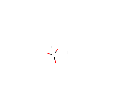 OB(O)O.[InH3].[Tb]